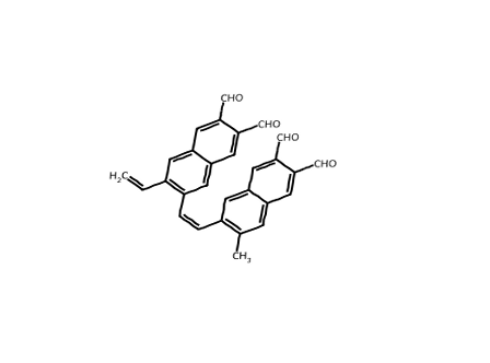 C=Cc1cc2cc(C=O)c(C=O)cc2cc1/C=C\c1cc2cc(C=O)c(C=O)cc2cc1C